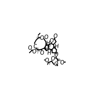 CC[C@H]1CCC[C@H](OC(C)=O)[C@@H](C)C(=O)C2=CC3[C@@H](C4OC(=O)CC4[C@@H]4C[C@@H](OC(OC(C)[C@@H](C)OC)[C@H](COC)OC)C[C@@H]34)[C@@H]2CC(=O)O1